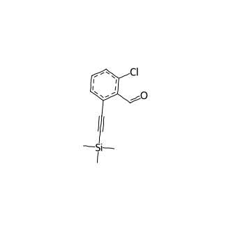 C[Si](C)(C)C#Cc1cccc(Cl)c1C=O